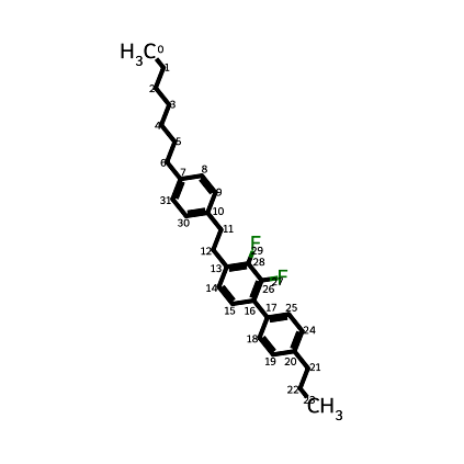 CCCCCCCc1ccc(CCc2ccc(-c3ccc(CCC)cc3)c(F)c2F)cc1